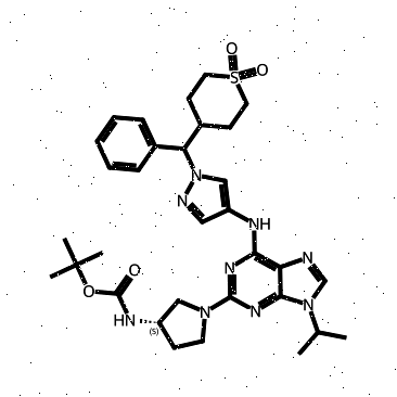 CC(C)n1cnc2c(Nc3cnn(C(c4ccccc4)C4CCS(=O)(=O)CC4)c3)nc(N3CC[C@H](NC(=O)OC(C)(C)C)C3)nc21